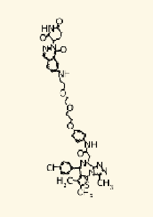 Cc1sc2c(c1C)C(c1ccc(Cl)cc1)=N[C@@H](CC(=O)Nc1ccc(OCCOCCOCCNc3ccc4cnn(C5CCC(=O)NC5=O)c(=O)c4c3)cc1)c1nnc(C)n1-2